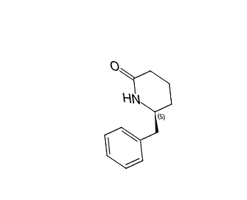 O=C1CCC[C@@H](Cc2ccccc2)N1